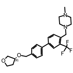 CN1CCN(Cc2ccc(-c3ccc(CO[C@@H]4CCOC4)cc3)cc2C(F)(F)F)CC1